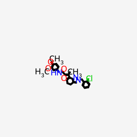 COc1ccc(NC(=O)c2oc3c(c2C)-c2nn(Cc4ccccc4Cl)cc2CC3)cc1OC